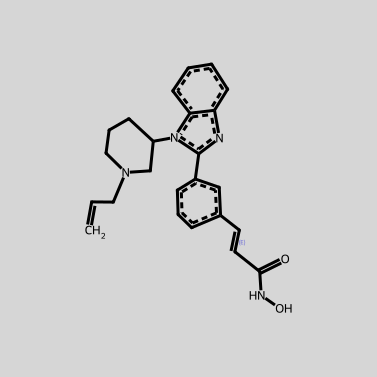 C=CCN1CCCC(n2c(-c3cccc(/C=C/C(=O)NO)c3)nc3ccccc32)C1